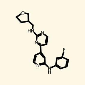 Fc1cccc(Nc2cc(-c3ccnc(NCC4CCOC4)n3)ccn2)c1